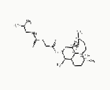 CC(C)CNC(=O)CCC(=O)O[C@@H]1O[C@@H]2O[C@@]3(C)CC[C@H]4[C@H](C)CCC(C1C)[C@@]24OO3